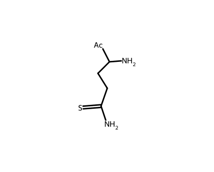 CC(=O)C(N)CCC(N)=S